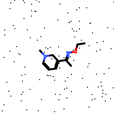 CCON=C(C)C1=CC=CN(C)C1